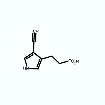 C#Cc1c[nH]cc1CCC(=O)O